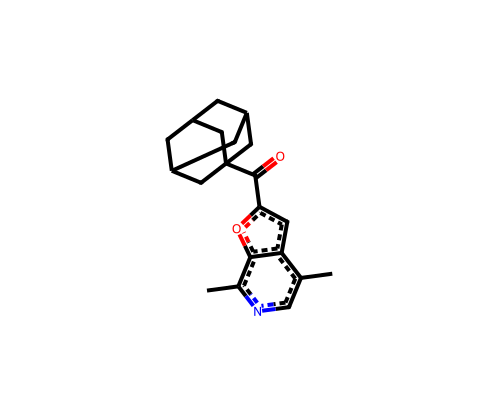 Cc1cnc(C)c2oc(C(=O)C34CC5CC(CC(C5)C3)C4)cc12